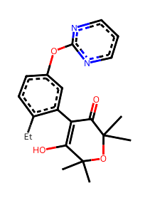 CCc1ccc(Oc2ncccn2)cc1C1=C(O)C(C)(C)OC(C)(C)C1=O